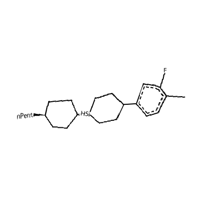 CCCCC[C@H]1CC[C@H]([SiH]2CCC(c3ccc(C)c(F)c3)CC2)CC1